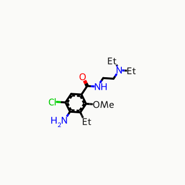 CCc1c(N)c(Cl)cc(C(=O)NCCN(CC)CC)c1OC